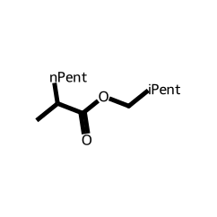 CCCCCC(C)C(=O)OCC(C)CCC